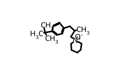 CC(Cc1ccc(C(C)(C)C)cc1)C[N+]1([O-])CCCCC1